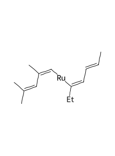 CC=CC=[C](CC)[Ru][CH]=C(C)C=C(C)C